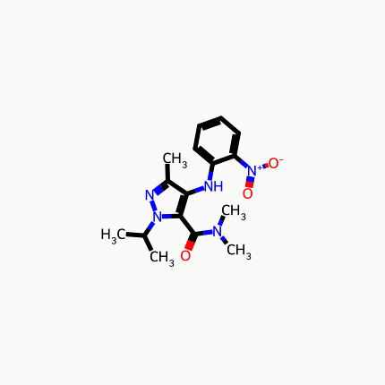 Cc1nn(C(C)C)c(C(=O)N(C)C)c1Nc1ccccc1[N+](=O)[O-]